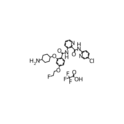 NC1CCC(Oc2cc(OCCF)ccc2C(=O)Nc2cccnc2C(=O)Nc2ccc(Cl)cn2)CC1.O=C(O)C(F)(F)F